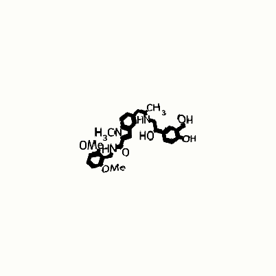 COc1cccc(OC)c1CNC(=O)c1cc2cc(C[C@@H](C)NC[C@H](O)c3ccc(O)c(CO)c3)ccc2n1C